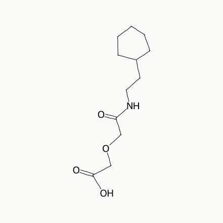 O=C(O)COCC(=O)NCCC1CCCCC1